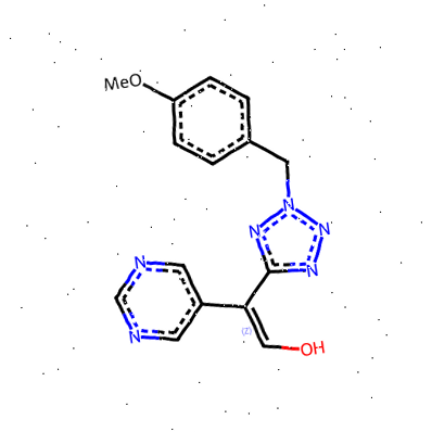 COc1ccc(Cn2nnc(/C(=C\O)c3cncnc3)n2)cc1